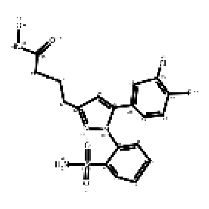 NS(=O)(=O)c1ccccc1-n1nc(CCCC(=O)NO)cc1-c1ccc(F)c(Cl)c1